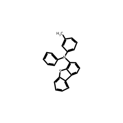 Cc1cccc(N(c2ccccc2)c2cccc3c2sc2ccccc23)c1